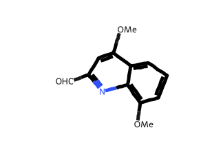 COc1cc(C=O)nc2c(OC)cccc12